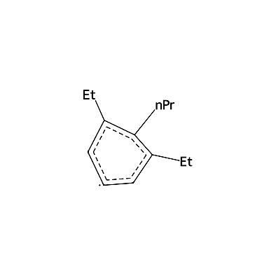 CCCc1c(CC)c[c]cc1CC